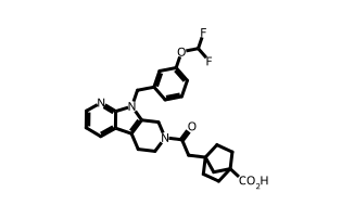 O=C(CC12CCC(C(=O)O)(CC1)C2)N1CCc2c(n(Cc3cccc(OC(F)F)c3)c3ncccc23)C1